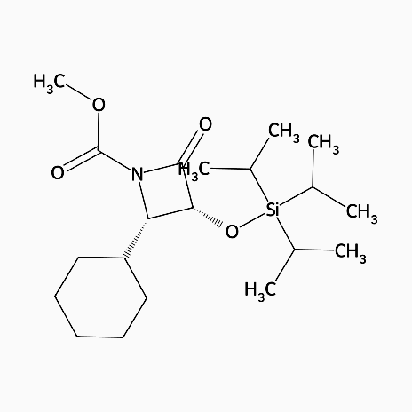 COC(=O)N1C(=O)[C@H](O[Si](C(C)C)(C(C)C)C(C)C)[C@@H]1C1CCCCC1